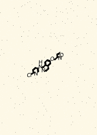 Clc1ccc(Nc2nccc3cc(OCc4ccon4)ccc23)cn1